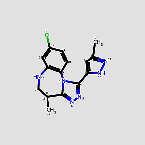 Cc1cc(-c2nnc3n2-c2ccc(Cl)cc2NC[C@@H]3C)[nH]n1